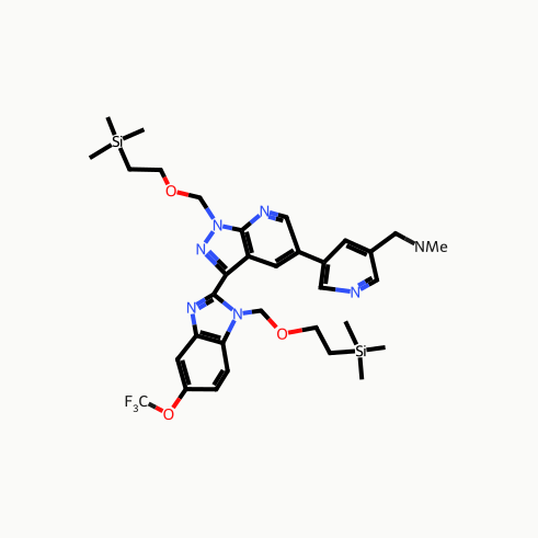 CNCc1cncc(-c2cnc3c(c2)c(-c2nc4cc(OC(F)(F)F)ccc4n2COCC[Si](C)(C)C)nn3COCC[Si](C)(C)C)c1